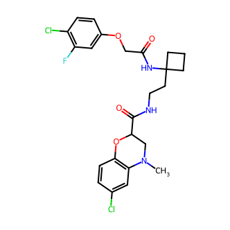 CN1CC(C(=O)NCCC2(NC(=O)COc3ccc(Cl)c(F)c3)CCC2)Oc2ccc(Cl)cc21